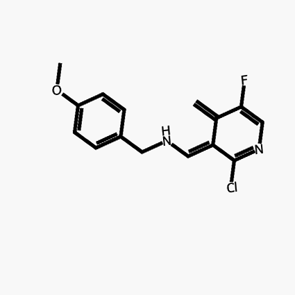 C=c1c(F)cnc(Cl)/c1=C/NCc1ccc(OC)cc1